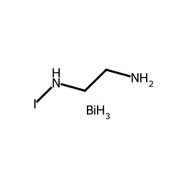 NCCNI.[BiH3]